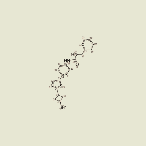 CC(C)N1CC(c2ncc(-c3ccc(NC(=O)NCc4ccccc4)cc3)s2)C1